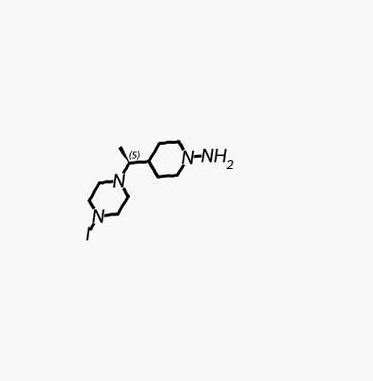 C[C@@H](C1CCN(N)CC1)N1CCN(I)CC1